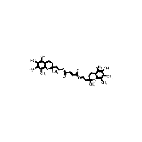 Cc1c(C)c2c(c(C)c1O)CCC(C)(CCOC(=O)C=CC(=O)OCCC1(C)CCc3c(C)c(O)c(C)c(C)c3O1)O2